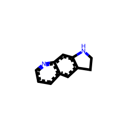 c1cnc2cc3c(cc2c1)CCN3